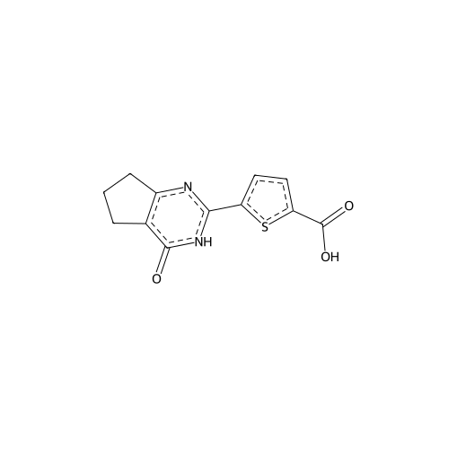 O=C(O)c1ccc(-c2nc3c(c(=O)[nH]2)CCC3)s1